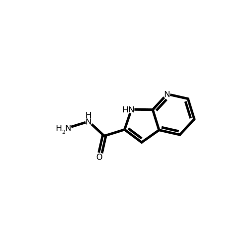 NNC(=O)c1cc2cccnc2[nH]1